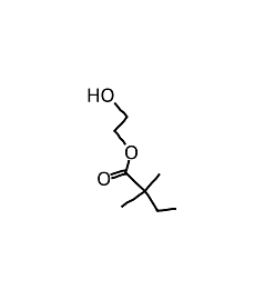 CCC(C)(C)C(=O)OCCO